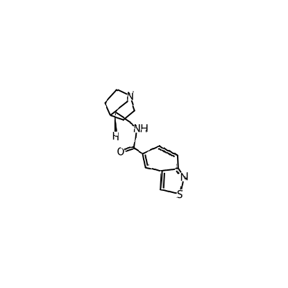 O=C(N[C@H]1CN2CCC1CC2)c1ccc2nscc2c1